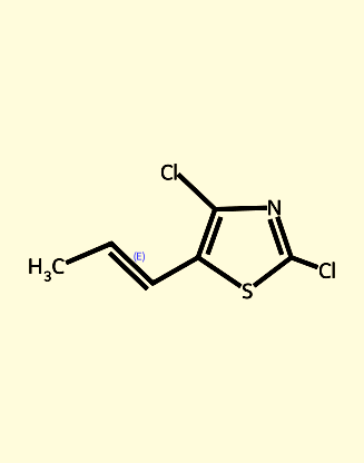 C/C=C/c1sc(Cl)nc1Cl